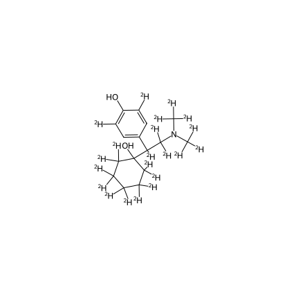 [2H]c1cc(C([2H])(C([2H])([2H])N(C([2H])([2H])[2H])C([2H])([2H])[2H])C2(O)C([2H])([2H])C([2H])([2H])C([2H])([2H])C([2H])([2H])C2([2H])[2H])cc([2H])c1O